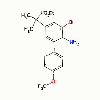 CCOC(=O)C(C)(C)c1cc(Br)c(N)c(-c2ccc(OC(F)(F)F)cc2)c1